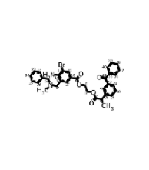 CC(C(=O)OCCOC(=O)c1cc(Br)c(N)c(CN(C)Cc2ccccc2)c1)c1cccc(C(=O)c2ccccc2)c1